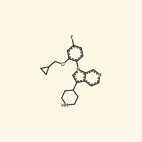 Fc1ccc(-n2cc(C3CCNCC3)c3ccncc32)c(OCC2CC2)c1